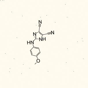 COc1ccc(Nc2nc(C#N)c(C#N)[nH]2)cc1